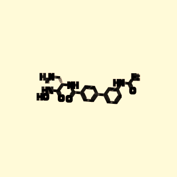 CCC(=O)Nc1cccc(-c2ccc(C(=O)N[C@@H](CN)C(=O)NO)cc2)c1